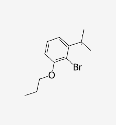 CCCOc1cccc([C](C)C)c1Br